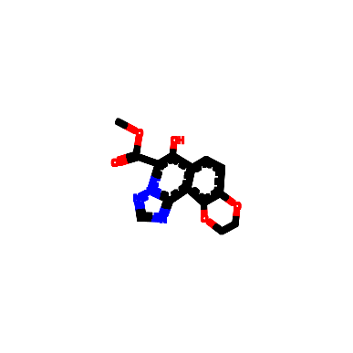 COC(=O)c1c(O)c2ccc3c(c2c2ncnn12)OCCO3